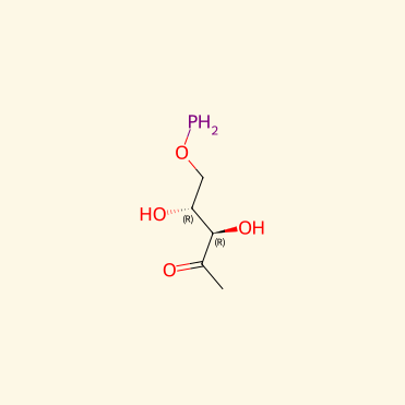 CC(=O)[C@H](O)[C@H](O)COP